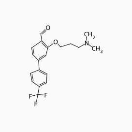 CN(C)CCCOc1cc(-c2ccc(C(F)(F)F)cc2)ccc1C=O